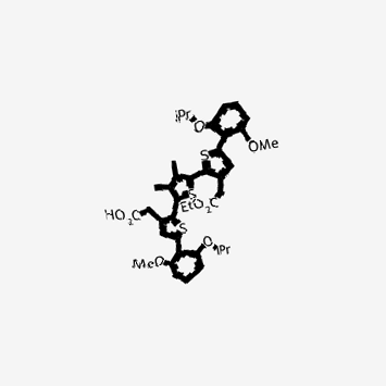 CCOC(=O)Cc1cc(-c2c(OC)cccc2OC(C)C)sc1-c1sc(-c2sc(-c3c(OC)cccc3OC(C)C)cc2CC(=O)O)c(C)c1C